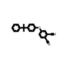 CC(C)(c1ccccc1)c1ccc(Oc2ccc(C#N)c(C#N)c2)cc1